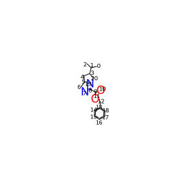 CC(C)C1CC2CN=C(C(=O)OCc3ccccc3)N2C1